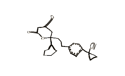 N#CC1(c2ccc(CCC3(C4CCCC4)CC(=O)CC(=O)O3)cc2)CC1